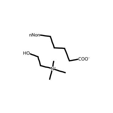 CCCCCCCCCCCCCC(=O)[O-].C[N+](C)(C)CCO